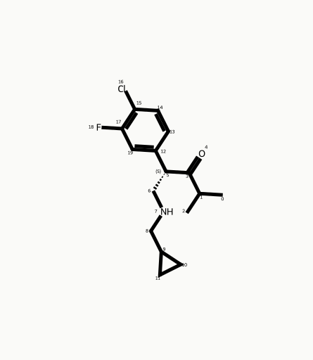 CC(C)C(=O)[C@H](CNCC1CC1)c1ccc(Cl)c(F)c1